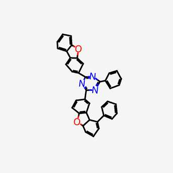 C1=CC2Oc3ccc(-c4nc(-c5ccccc5)nc(-c5ccc6c(c5)oc5ccccc56)n4)cc3C2C(c2ccccc2)=C1